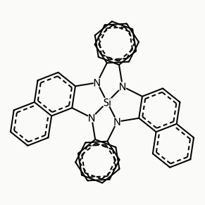 c1ccc(N2c3ccc4ccccc4c3N(c3ccccc3)[Si]23N(c2ccccc2)c2ccc4ccccc4c2N3c2ccccc2)cc1